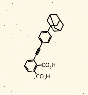 O=C(O)c1cccc(C#Cc2ccc(C34CC5CC(CC(C5)C3)C4)cc2)c1C(=O)O